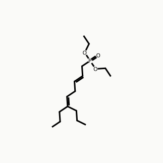 CCCC(=CC/C=C/CP(=O)(OCC)OCC)CCC